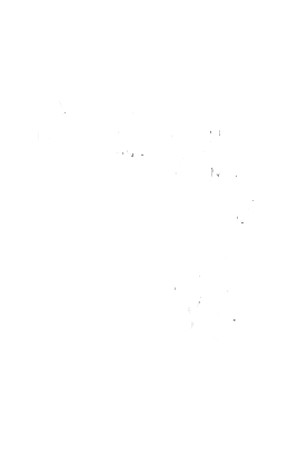 C=C(O)CCC(=O)Nc1ccc(C(=O)N2CCN(Cc3ccc(C(O)(C(F)(F)F)C(F)(F)F)cc3)CC2)cc1